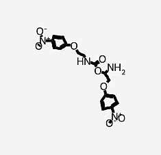 NC(COc1ccc([N+](=O)[O-])cc1)OC(=O)NCCOc1ccc([N+](=O)[O-])cc1